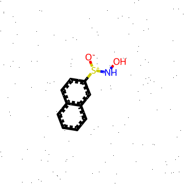 [O-][S+](NO)c1ccc2ccccc2c1